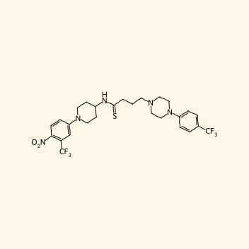 O=[N+]([O-])c1ccc(N2CCC(NC(=S)CCCN3CCN(c4ccc(C(F)(F)F)cc4)CC3)CC2)cc1C(F)(F)F